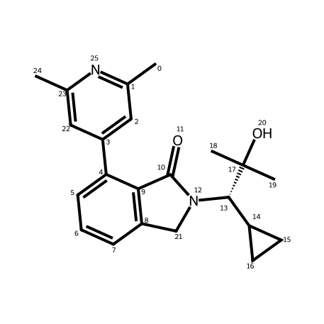 Cc1cc(-c2cccc3c2C(=O)N([C@@H](C2CC2)C(C)(C)O)C3)cc(C)n1